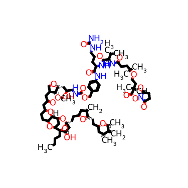 C=C1CC(CC[C@]23C[C@@H](O)C(CCCC)(O2)C2CC(O3)[C@H]3OC(CC(=O)CC4CO[C@H](CC(O)CNC(=O)OCc5ccc(NC(=O)C(CCCNC(N)=O)NC(=O)[C@@H](NC(=O)CCC(C)(C)OCCC(C)(C)C(=O)ON6C(=O)CCC6=O)C(C)C)cc5)[C@@H]4OC)CCC3O2)O[C@H]1CCC1C[C@@H](C)C(=C)[C@@H](C)O1